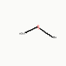 CCCCCCCCC=CCCCCCCCCCCCC(=O)OCCCCCCCCCCCCCCC(C)CC